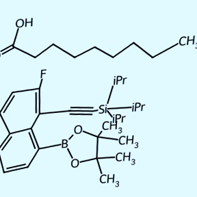 CC(C)[Si](C#Cc1c(F)ccc2cccc(B3OC(C)(C)C(C)(C)O3)c12)(C(C)C)C(C)C.CCCCCCCCC(=O)O